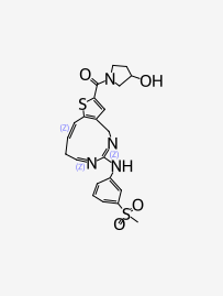 CS(=O)(=O)c1cccc(NC2=N/Cc3cc(C(=O)N4CCC(O)C4)sc3/C=C\C/C=N\2)c1